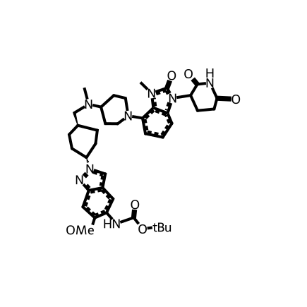 COc1cc2nn([C@H]3CC[C@H](CN(C)C4CCN(c5cccc6c5n(C)c(=O)n6C5CCC(=O)NC5=O)CC4)CC3)cc2cc1NC(=O)OC(C)(C)C